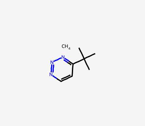 C.CC(C)(C)c1ccnnn1